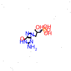 Nc1nc2c(ncn2CC(/C=C/P(=O)(O)O)CO)c(=O)[nH]1